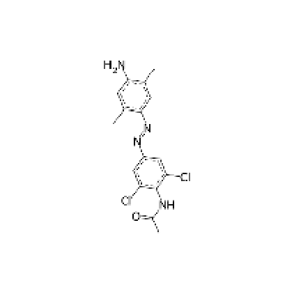 CC(=O)Nc1c(Cl)cc(/N=N/c2cc(C)c(N)cc2C)cc1Cl